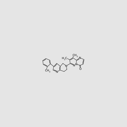 Cc1ccccc1-c1cnc2c(c1)CN(c1nn3c(=O)ccnc3c(C)c1C)CC2